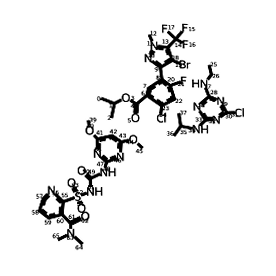 CC(C)OC(=O)c1cc(-c2nn(C)c(C(F)(F)F)c2Br)c(F)cc1Cl.CCNc1nc(Cl)nc(NC(C)C)n1.COc1cc(OC)nc(NC(=O)NS(=O)(=O)c2ncccc2C(=O)N(C)C)n1